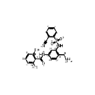 N#Cc1ccccc1S(=O)(=O)Nc1cc(NC(=O)c2c(F)cccc2Cl)ccc1CN